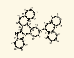 c1ccc2c(c1)cc(-c1ccc3c(c1)c1c4ccccc4ccc1c1nc4ccccc4n31)c1ccccc12